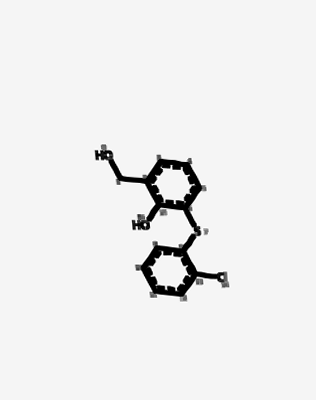 OCc1cccc(Sc2ccccc2Cl)c1O